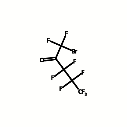 O=C(C(F)(F)Br)C(F)(F)C(F)(F)C(F)(F)F